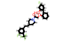 O=C(COc1ccccc1-c1ccc(F)cc1O)N1CCC(CCc2ccc(F)c(C(F)(F)F)c2)CC1